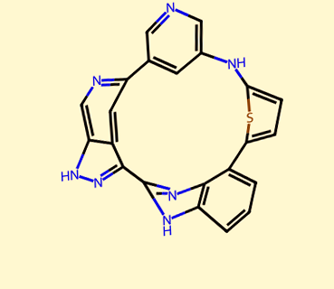 c1cc2[nH]c3nc2c(c1)c1ccc([nH]c2cncc(c2)c2cc4c(cn2)[nH]nc34)s1